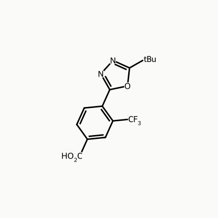 CC(C)(C)c1nnc(-c2ccc(C(=O)O)cc2C(F)(F)F)o1